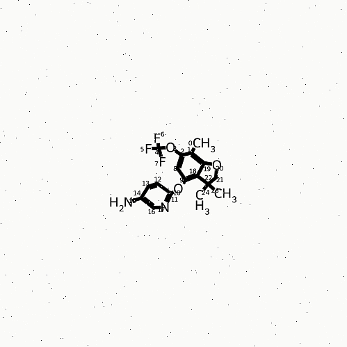 Cc1c(OC(F)(F)F)cc(Oc2ccc(N)cn2)c2c1OCC2(C)C